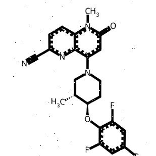 C[C@@H]1CN(c2cc(=O)n(C)c3ccc(C#N)nc23)CC[C@H]1Oc1c(F)cc(F)cc1F